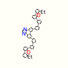 CCc1cccc2c1oc1c(-c3cccc(-c4cccc(-c5ccc6c(c5)c5cc(-c7cccc(-c8cccc(-c9cccc%10c9oc9c(CC)cccc9%10)c8)c7)ccc5c5nccnc65)c4)c3)cccc12